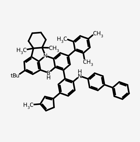 CC1=CCC(c2ccc(Nc3ccc(-c4ccccc4)cc3)c(-c3cc(-c4c(C)cc(C)cc4C)cc4c3Bc3cc(C(C)(C)C)cc5c3N4C3(C)CCCCC53C)c2)=C1